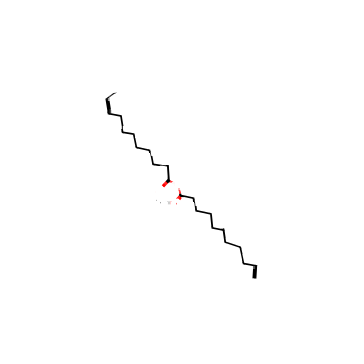 C=CCCCCCCCCC(=O)OC(=O)CCCCCCC/C=C\CCCCCCCC.[Cu].[NaH]